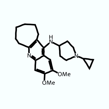 COc1cc2nc3c(c(NC4CCN(C5CC5)CC4)c2cc1OC)CCCCCC3